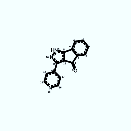 O=C1c2ccccc2-c2[nH]nc(-c3ccncc3)c21